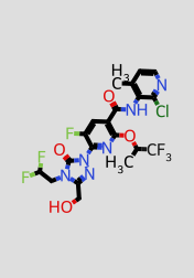 Cc1ccnc(Cl)c1NC(=O)c1cc(F)c(-n2nc(CO)n(CC(F)F)c2=O)nc1OC(C)C(F)(F)F